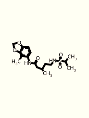 Cc1c(NC(=O)CC(C)CCNS(=O)(=O)C(C)C)ccc2c1OCO2